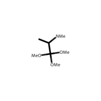 CNC(C)C(OC)(OC)OC